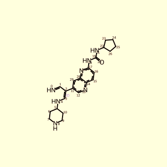 N=C/C(=C\NC1CCNCC1)c1cnc2ccc(NC(=O)NC3CCCC3)nc2c1